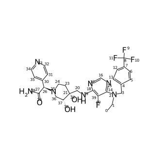 CCN(Cc1ccc(C(F)(F)F)cc1)c1ncnc(NC[C@]2(O)CCN([C@@H](C(N)=O)c3ccncc3)C[C@H]2O)c1F